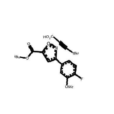 CC(C)(C)C#CC(=O)O.COc1cc(-c2cc(C(=O)OC(C)(C)C)on2)ccc1F